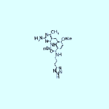 CCCCNc1nc(N)nc(C)c1Cc1cc(C(=O)NCCCc2nn[nH]n2)ccc1OC